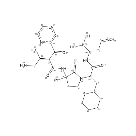 C=CC[C@H](NC(=O)[C@H](CC1CCCCC1)N1CCC(NC(=O)[C@H](C(=O)c2cnccn2)C(C)CN)(C(C)C)C1=O)B(O)O